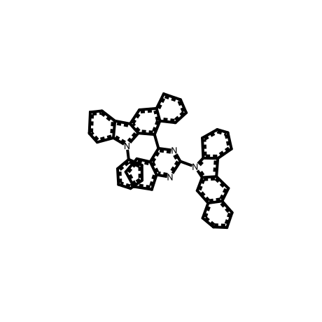 c1ccc(-n2c3ccccc3c3cc4ccccc4c(-c4nc(-n5c6ccccc6c6cc7ccccc7cc65)nc5ccccc45)c32)cc1